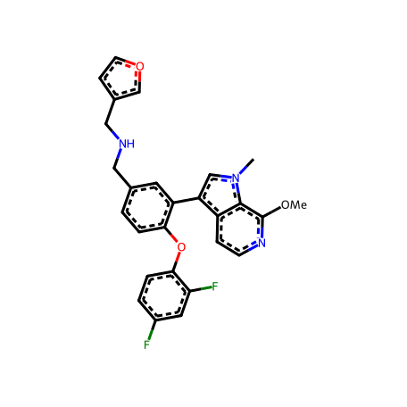 COc1nccc2c(-c3cc(CNCc4ccoc4)ccc3Oc3ccc(F)cc3F)cn(C)c12